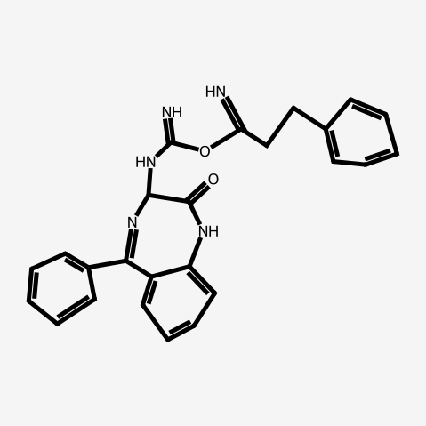 N=C(CCc1ccccc1)OC(=N)NC1N=C(c2ccccc2)c2ccccc2NC1=O